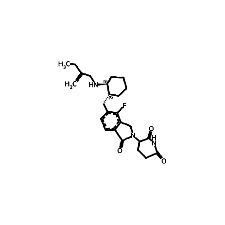 C=C(CC)CN[C@H]1CCCC[C@@H]1Cc1ccc2c(c1F)CN(C1CCC(=O)NC1=O)C2=O